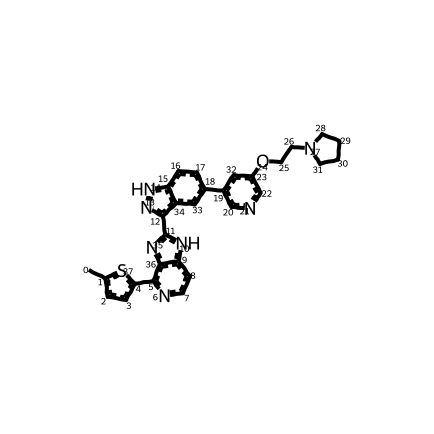 Cc1ccc(-c2nccc3[nH]c(-c4n[nH]c5ccc(-c6cncc(OCCN7CCCC7)c6)cc45)nc23)s1